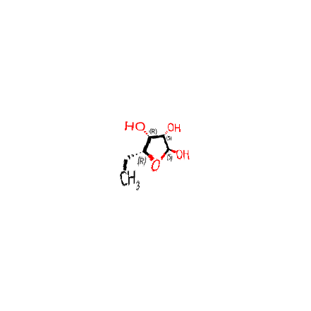 CC[C@H]1O[C@H](O)[C@@H](O)[C@H]1O